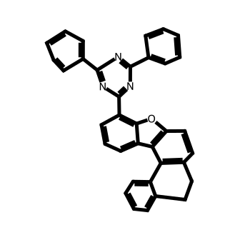 c1ccc(-c2nc(-c3ccccc3)nc(-c3cccc4c3oc3ccc5c(c34)-c3ccccc3CC5)n2)cc1